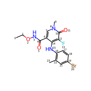 CCONC(=O)c1cn(C)c(=O)c(F)c1Nc1ccc(Br)cc1C